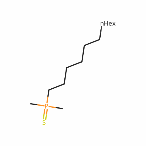 CCCCCCCCCCCCP(C)(C)=S